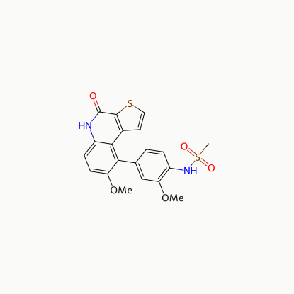 COc1cc(-c2c(OC)ccc3[nH]c(=O)c4sccc4c23)ccc1NS(C)(=O)=O